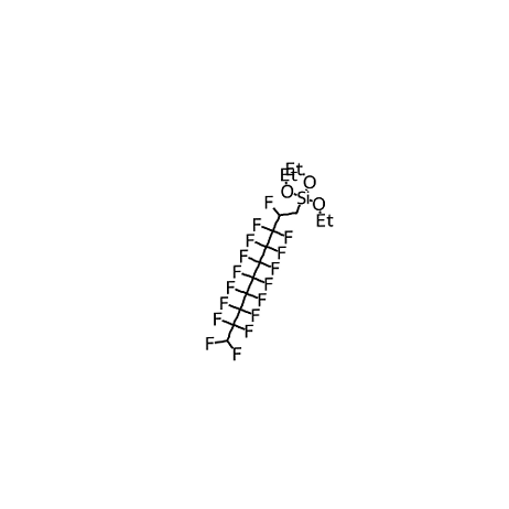 CCO[Si](CC(F)C(F)(F)C(F)(F)C(F)(F)C(F)(F)C(F)(F)C(F)(F)C(F)(F)C(F)F)(OCC)OCC